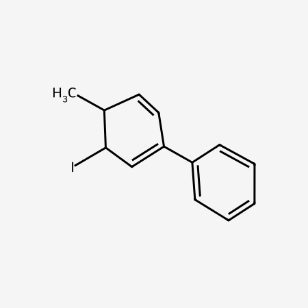 CC1C=CC(c2ccccc2)=CC1I